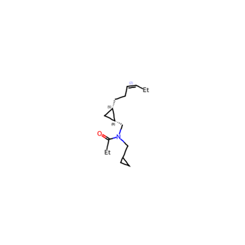 CC/C=C\CC[C@H]1C[C@H]1CN(CC1CC1)C(=O)CC